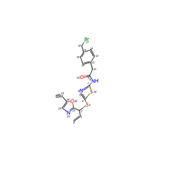 C=CC(Sc1cnc(NC(=O)Cc2ccc(CBr)cc2)s1)c1ncc(C(C)(C)C)o1